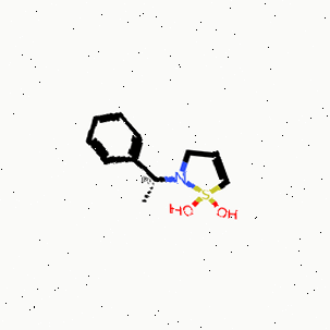 C[C@H](c1ccccc1)N1CC=CS1(O)O